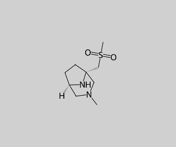 CN1C[C@H]2CC[C@@](CS(C)(=O)=O)(C1)N2